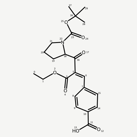 CCOC(=O)/C(=C\c1ccc(C(=O)O)cc1)C(=O)C1CCCN1C(=O)OC(C)(C)C